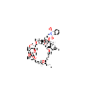 C=C1C[C@@H]2CCC34C[C@@H]5O[C@@H]6[C@@H](O[C@H]7CCC(CC(=O)CC8C(C[C@H]9O[C@@H](CCC1O2)C[C@@H](C)C9=C)O[C@H](C[C@@H](CN1C(=O)c2ccccc2C1=O)O[Si](C)(C)C(C)(C)C)[C@@H]8C)O[C@@H]7[C@@H]6O3)[C@H]5O4